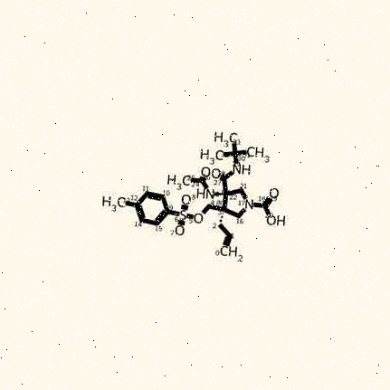 C=CC[C@@]1(COS(=O)(=O)c2ccc(C)cc2)CN(C(=O)O)C[C@@]1(NC(C)=O)C(=O)NC(C)(C)C